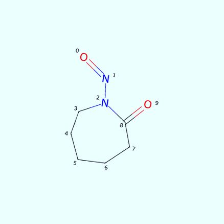 O=NN1CCCCCC1=O